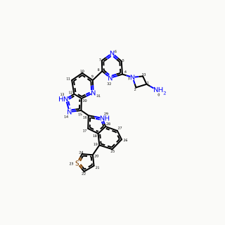 NC1CN(c2cncc(-c3ccc4[nH]nc(-c5cc6c(-c7ccsc7)cccc6[nH]5)c4n3)n2)C1